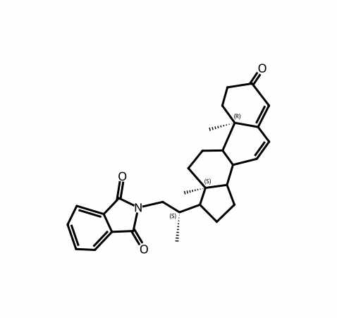 C[C@H](CN1C(=O)c2ccccc2C1=O)C1CCC2C3C=CC4=CC(=O)CC[C@]4(C)C3CC[C@@]21C